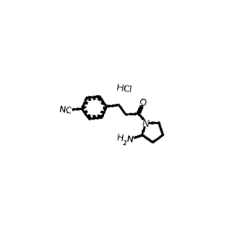 Cl.N#Cc1ccc(CCC(=O)N2CCCC2N)cc1